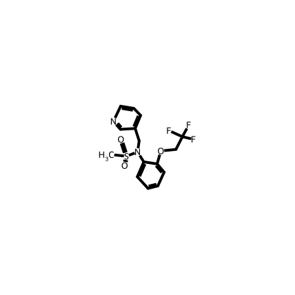 CS(=O)(=O)N(Cc1cccnc1)c1ccccc1OCC(F)(F)F